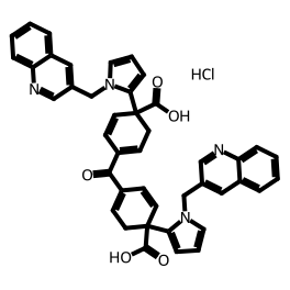 Cl.O=C(C1=CCC(C(=O)O)(c2cccn2Cc2cnc3ccccc3c2)C=C1)C1=CCC(C(=O)O)(c2cccn2Cc2cnc3ccccc3c2)C=C1